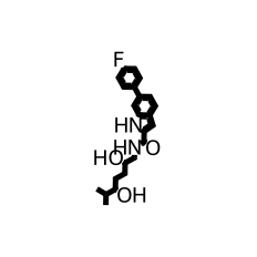 CC(C)C(O)CCC(O)CNC(=O)c1cc2ccc(-c3ccc(F)cc3)cc2[nH]1